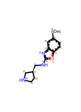 CCCCCCCCCCc1ccc2oc(NC[C@H]3CCNC3)nc2c1